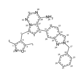 Cc1noc(C)c1Cc1cc(-c2ccc3cn(Cc4ccccc4)nc3c2)c2c(N)ncnn12